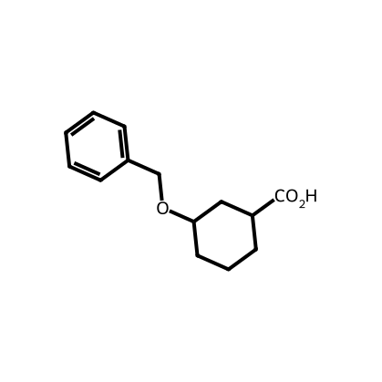 O=C(O)C1CCCC(OCc2ccccc2)C1